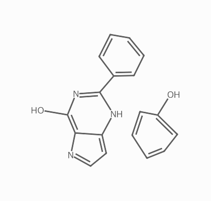 Oc1ccccc1.Oc1nc(-c2ccccc2)[nH]c2ccnc1-2